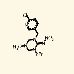 CCCN1CN(C)CN(Cc2ccc(Cl)nc2)/C1=N\[N+](=O)[O-]